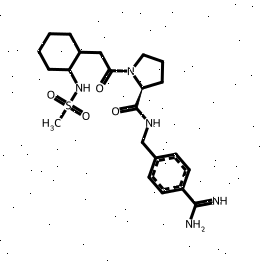 CS(=O)(=O)NC1CCCCC1CC(=O)N1CCC[C@H]1C(=O)NCc1ccc(C(=N)N)cc1